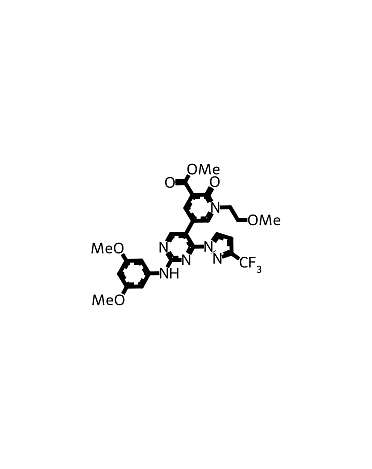 COCCn1cc(-c2cnc(Nc3cc(OC)cc(OC)c3)nc2-n2ccc(C(F)(F)F)n2)cc(C(=O)OC)c1=O